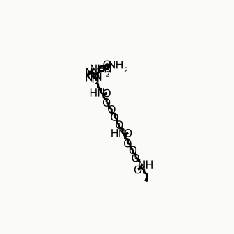 C#CCCCC(=O)NCCOCCOCCOCCC(=O)NCCOCCOCCOCCOCCC(=O)NCCCCn1nc(-c2ccc3oc(N)nc3c2)c2c(N)ncnc21